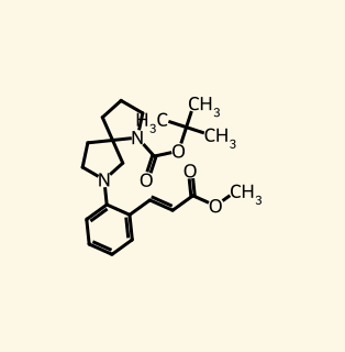 COC(=O)/C=C/c1ccccc1N1CCC2(CCCN2C(=O)OC(C)(C)C)C1